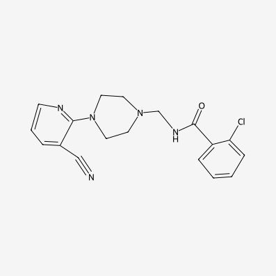 N#Cc1cccnc1N1CCN(CNC(=O)c2ccccc2Cl)CC1